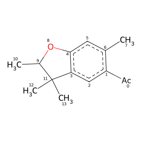 CC(=O)c1cc2c(cc1C)OC(C)C2(C)C